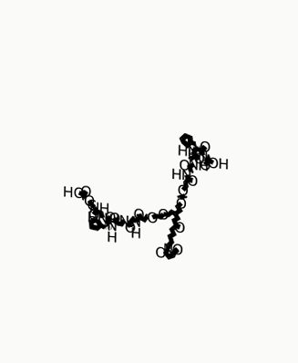 O=C(O)CNC(=O)[C@H](Cc1ccccc1)NC(=O)CNC(=O)CNC(=O)CCOCCOCCC(CCOCCOCCC(=O)NCC(=O)NCC(=O)N[C@@H](Cc1ccccc1)C(=O)NCC(=O)NCOCC(=O)O)CCC(=O)CCCCCN1C(=O)C=CC1=O